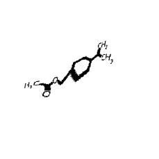 C=C(C)C1CCC(COC(C)=O)CC1